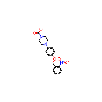 O=C(O)N1CCN(c2ccc(OCc3ccccc3[N+](=O)[O-])cc2)CC1